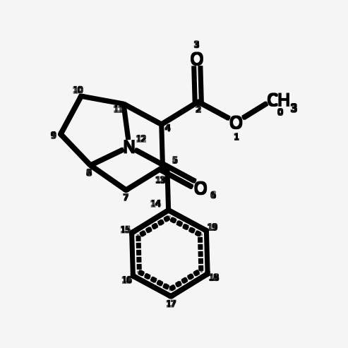 COC(=O)C1C(=O)CC2CCC1N2Cc1ccccc1